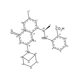 Cc1cc([C@@H](C)Nc2ccccc2C(=O)O)c2nc(N3C4CCCC3C4)cc(=O)n2c1